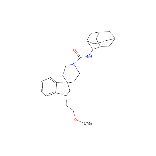 COOCCC1CC2(CCN(C(=O)NC3C4CC5CC(C4)CC3C5)CC2)c2ccccc21